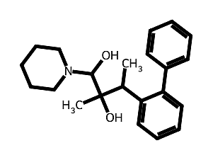 CC(c1ccccc1-c1ccccc1)C(C)(O)C(O)N1CCCCC1